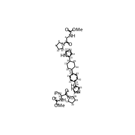 COC(=O)NCC(=O)N1CCC[C@H]1c1ncc(C2CCC(c3ccc(-c4cnc([C@@H]5CCCN5C(=O)C(NC(=O)OC)C(C)C)[nH]4)cc3)CC2)[nH]1